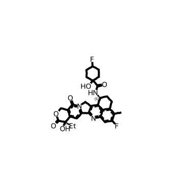 CC[C@@]1(O)C(=O)OCc2c1cc1n(c2=O)Cc2c-1nc1cc(F)c(C)c3c1c2[C@@H](NC(=O)C1(O)CCC(F)CC1)CC3